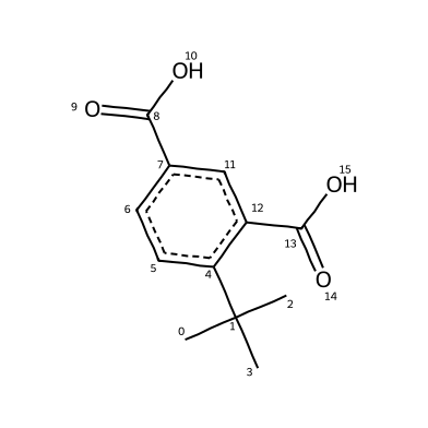 CC(C)(C)c1ccc(C(=O)O)cc1C(=O)O